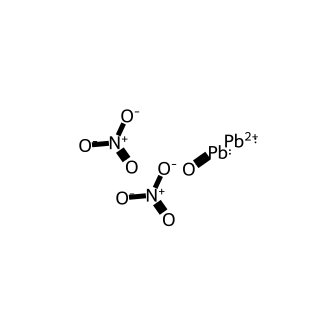 O=[N+]([O-])[O-].O=[N+]([O-])[O-].[O]=[Pb].[Pb+2]